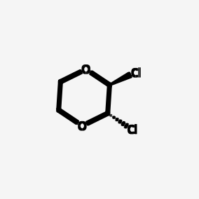 Cl[C@@H]1OCCO[C@H]1Cl